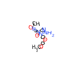 C#CC(=O)N1CC[C@@H](n2c(=O)n(-c3ccc(Oc4ccc(OC)cc4)cc3)c3c(N)nccc32)C1